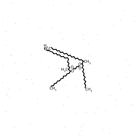 CCCCCCCCCCCCCCCCCCC(C)C(CCCCCCCCCCCCC)OC(=O)CCC(=O)OC(CCCCCCCCCCCCC)C(C)CCCCCCCCCCCCCCCCCC